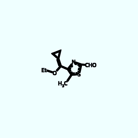 CCOC(=C1CC1)c1nc(C=O)sc1C